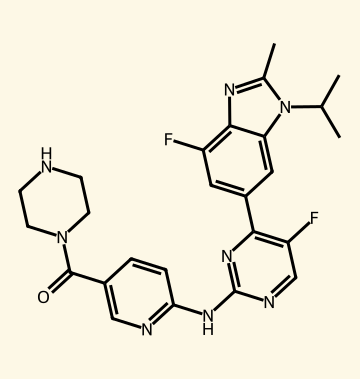 Cc1nc2c(F)cc(-c3nc(Nc4ccc(C(=O)N5CCNCC5)cn4)ncc3F)cc2n1C(C)C